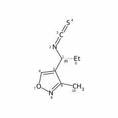 CC[C@@H](N=C=S)c1conc1C